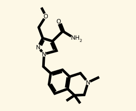 COCc1nn(Cc2ccc3c(c2)CN(C)CC3(C)C)cc1C(N)=O